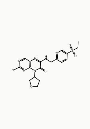 CCS(=O)(=O)c1ccc(CNc2nc3cnc(Cl)nc3n(C3CCOC3)c2=O)nc1